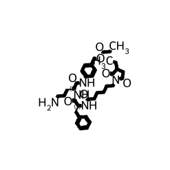 CCC(=O)OCc1ccc(NC(=O)[C@H](CCCN)NC(=O)[C@H](Cc2ccccc2)NC(=O)CCCCCN2C(=O)CC(CC)C2=O)cc1